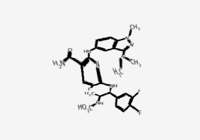 C[C@H](NC(=O)O)[C@@H](Nc1nc(Nc2ccc3c(c2)c(N(C)C)nn3C)c(C(N)=O)cc1F)c1ccc(F)c(F)c1